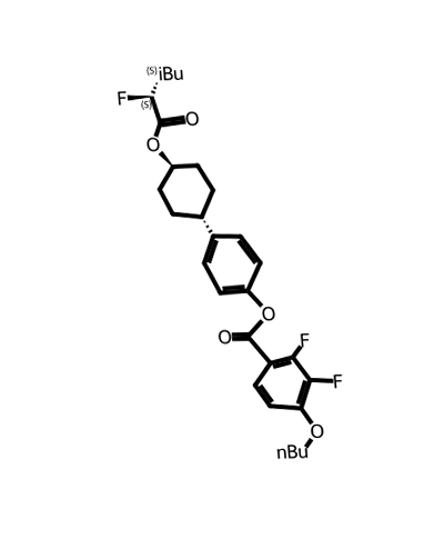 CCCCOc1ccc(C(=O)Oc2ccc([C@H]3CC[C@H](OC(=O)[C@@H](F)[C@@H](C)CC)CC3)cc2)c(F)c1F